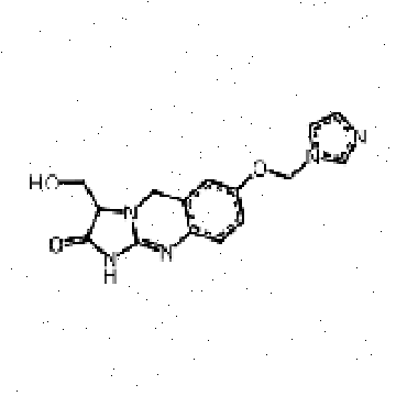 O=C1NC2=Nc3ccc(OCn4ccnc4)cc3CN2C1CO